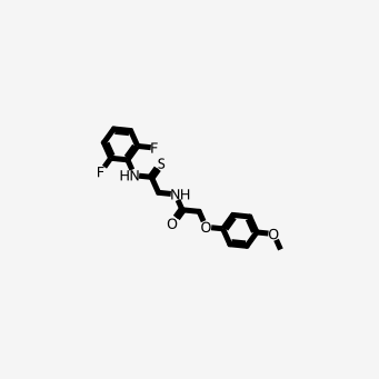 COc1ccc(OCC(=O)NCC(=S)Nc2c(F)cccc2F)cc1